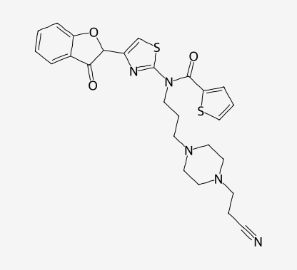 N#CCCN1CCN(CCCN(C(=O)c2cccs2)c2nc(C3Oc4ccccc4C3=O)cs2)CC1